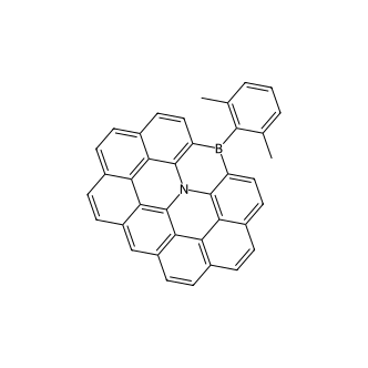 Cc1cccc(C)c1B1c2ccc3ccc4ccc5cc6ccc7ccc8ccc1c1c8c7c6c6c5c4c3c2N16